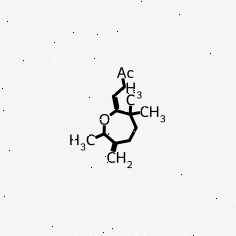 C=C1CCC(C)(C)C(=CCC(C)=O)O[C]1C